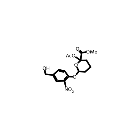 COC(=O)C1(OC(C)=O)CCCC(Oc2ccc(CO)cc2[N+](=O)[O-])O1